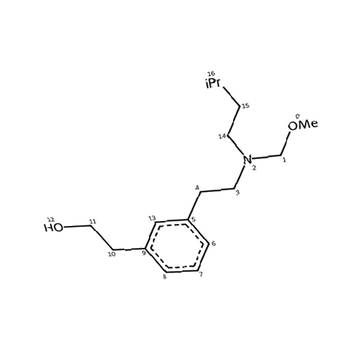 COCN(CCc1cccc(CCO)c1)CCC(C)C